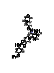 CC(C)Oc1ccc(NC(=O)OC2CCN(c3ncnc(N)c3/C=N/OCCN3CCOCC3)CC2)cc1